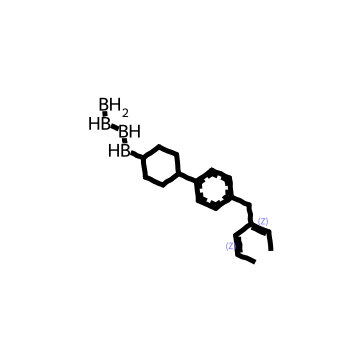 BBBBC1CCC(c2ccc(CC(/C=C\C)=C/C)cc2)CC1